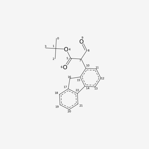 CC(C)(C)OC(=O)C(C=O)c1cccc2c1Cc1ccccc1-2